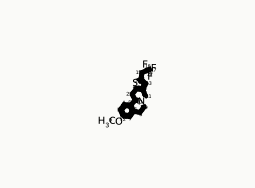 COc1ccc2c(c1)CCN1Cc3cc(CC(F)(F)F)sc3CC21